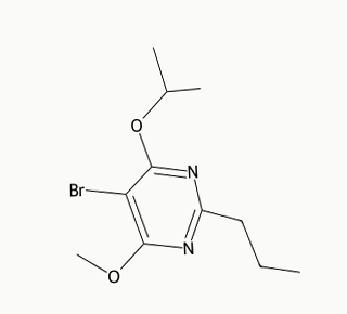 CCCc1nc(OC)c(Br)c(OC(C)C)n1